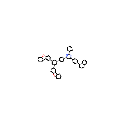 c1ccc(-c2nc(-c3ccc(-c4cc(-c5ccc6oc7ccccc7c6c5)cc(-c5ccc6oc7ccccc7c6c5)c4)cc3)cc(-c3ccc(-c4cccc5ccccc45)cc3)n2)cc1